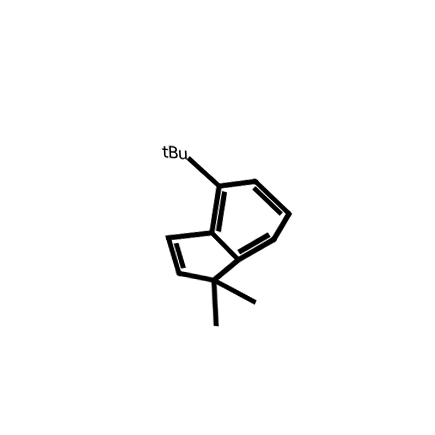 CC(C)(C)c1cccc2c1C=CC2(C)C